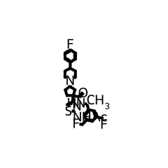 CC(=O)Nc1nc(C2(C(=O)NC(C)c3cc(CF)cc(CF)c3)CCC(N3CCC(c4ccc(F)cc4)CC3)C2)cs1